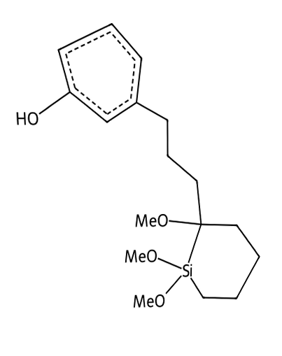 COC1(CCCc2cccc(O)c2)CCCC[Si]1(OC)OC